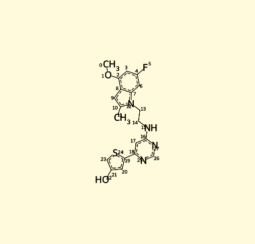 COc1cc(F)cc2c1cc(C)n2CCNc1cc(-c2cc(O)cs2)ncn1